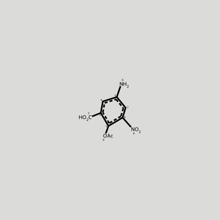 CC(=O)Oc1c(C(=O)O)cc(N)cc1[N+](=O)[O-]